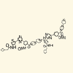 COc1cc(-c2cncc(C3=CC(NC(=O)CC4CCCC4)=C[SH]3CN3CCC(N4CCN(C(=O)c5ccc(-c6cncc(-c7cc(NC(=O)CC8CCC8)cs7)n6)cc5OC)CC4)CC3)n2)ccc1C(=O)N1CCN(C2CCN(C)CC2)CC1